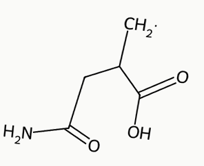 [CH2]C(CC(N)=O)C(=O)O